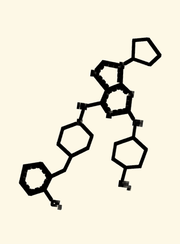 NC1CCC(Nc2nc(NN3CCC(Cc4ccccc4C(F)(F)F)CC3)c3ncn(C4CCCC4)c3n2)CC1